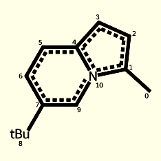 Cc1ccc2ccc(C(C)(C)C)cn12